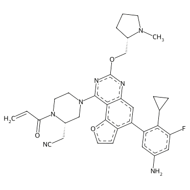 C=CC(=O)N1CCN(c2nc(OC[C@@H]3CCCN3C)nc3cc(-c4cc(N)cc(F)c4C4CC4)c4ccoc4c23)C[C@@H]1CC#N